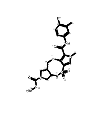 Cc1cc(NC(=O)c2c3c(cn2C)S(=O)(=O)NC2CN(C(=O)OC(C)(C)C)CC2CO3)ccc1F